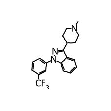 CN1CCC(c2nn(-c3cccc(C(F)(F)F)c3)c3ccccc23)CC1